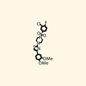 COc1ccc(-c2csc(N3CCN(S(=O)(=O)c4ccc(F)c(Cl)c4)CC3)n2)cc1OC